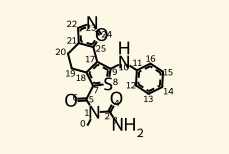 CN(C(N)=O)C(=O)c1sc(Nc2ccccc2)c2c1CCc1cnoc1-2